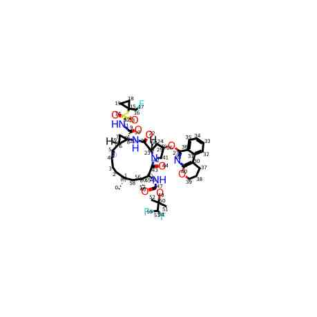 C[C@@H]1CC/C=C\[C@@H]2C[C@@]2(C(=O)NS(=O)(=O)C2(CF)CC2)NC(=O)[C@@H]2C[C@@H](Oc3nc4c(c5ccccc35)CCCO4)CN2C(=O)[C@@H](NC(=O)OC(C)(C)C(F)F)[C@H](C)C1